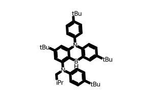 CC(C)CN(c1ccc(C(C)(C)C)cc1)c1cc(C(C)(C)C)cc2c1Bc1cc(C(C)(C)C)ccc1N2c1ccc(C(C)(C)C)cc1